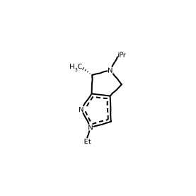 CCn1cc2c(n1)[C@H](C)N(C(C)C)C2